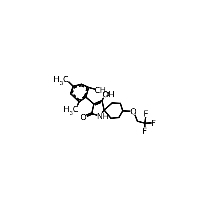 Cc1cc(C)c(C2=C(O)C3(CCC(OCC(F)(F)F)CC3)NC2=O)c(C)c1